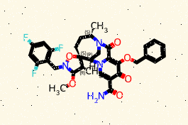 COC1[C@H](C)[C@]2(CC[C@H](C)N3C[C@H]2n2cc(C(N)=O)c(=O)c(OCc4ccccc4)c2C3=O)ON1Cc1c(F)cc(F)cc1F